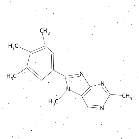 Cc1ncc2c(n1)nc(-c1cc(C)c(C)c(C)c1)n2C